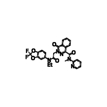 CCN(C(=O)Cn1nc(C(=O)N(C)c2ccccn2)c2ccccc2c1=O)c1ccc2c(c1)OC(F)(F)O2